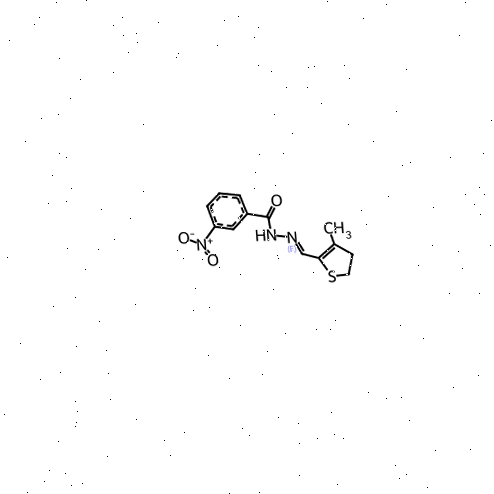 CC1=C(/C=N/NC(=O)c2cccc([N+](=O)[O-])c2)SCC1